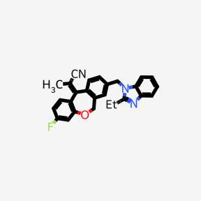 CCc1nc2ccccc2n1Cc1ccc2c(c1)COc1cc(F)ccc1C2=C(C)C#N